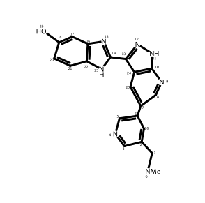 CNCc1cncc(-c2cnc3[nH]nc(-c4nc5cc(O)ccc5[nH]4)c3c2)c1